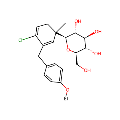 CCOc1ccc(CC2=CC(C)([C@@H]3O[C@H](CO)[C@@H](O)[C@H](O)[C@H]3O)CC=C2Cl)cc1